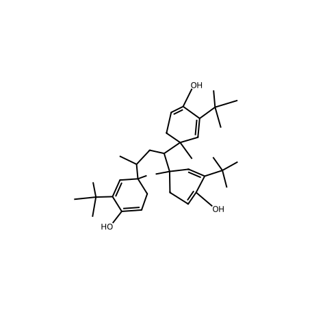 CC(CC(C1(C)C=C(C(C)(C)C)C(O)=CC1)C1(C)C=C(C(C)(C)C)C(O)=CC1)C1(C)C=C(C(C)(C)C)C(O)=CC1